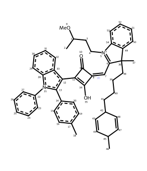 COC(C)CC[N+]1=C(/C=C2\C(=O)C(c3c(-c4ccc(C)cc4)n(-c4ccccc4)c4ccccc34)=C2O)C(C)(CCCCC2C=CC(C)C=C2)c2ccccc21